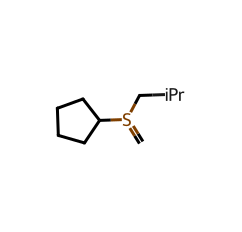 C=S(CC(C)C)C1CCCC1